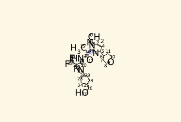 C=NN1C=CC(C2CCOCC2)=N/C1=C(/C)C(=O)Nc1cn([C@H]2CC[C@H](CO)CC2)nc1C(F)F